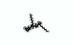 CCCCCCCCc1ccsc1-c1ccc(-c2sc(-c3cc4c(s3)C(=O)CC4)cc2CCCCCCCC)s1